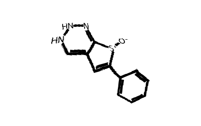 [O-][s+]1c(-c2ccccc2)cc2c1=NNNC=2